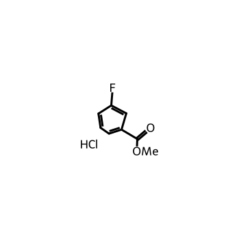 COC(=O)c1cccc(F)c1.Cl